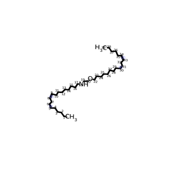 CCCCC/C=C\C/C=C\CCCCCCCCNCCOCCCCCCCC/C=C\C/C=C\CCCCC